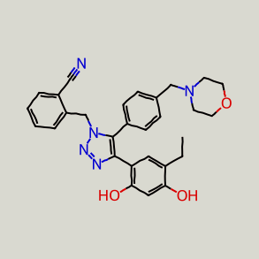 CCc1cc(-c2nnn(Cc3ccccc3C#N)c2-c2ccc(CN3CCOCC3)cc2)c(O)cc1O